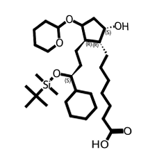 CC(C)(C)[Si](C)(C)O[C@@H](CC[C@H]1C(OC2CCCCO2)C[C@H](O)[C@@H]1CCCCCCC(=O)O)C1CCCCC1